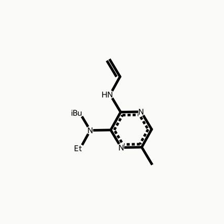 C=CNc1ncc(C)nc1N(CC)C(C)CC